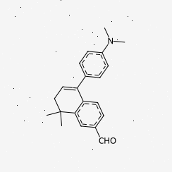 CN(C)c1ccc(C2=CCC(C)(C)c3cc(C=O)ccc32)cc1